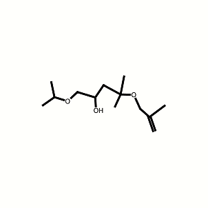 C=C(C)COC(C)(C)CC(O)COC(C)C